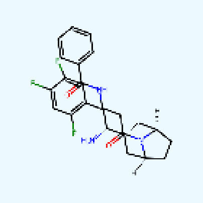 N[C@H](Cc1cc(F)c(F)cc1F)[C@@H]1C[C@H]2CC[C@@H](C1)N2C(=O)CCNC(=O)c1ccccc1